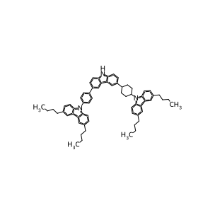 CCCCc1ccc2c(c1)c1cc(CCCC)ccc1n2-c1ccc(-c2ccc3[nH]c4ccc(C5CCC(n6c7ccc(CCCC)cc7c7cc(CCCC)ccc76)CC5)cc4c3c2)cc1